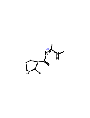 C=C(/N=C(/C)NC)C1CCOC1C